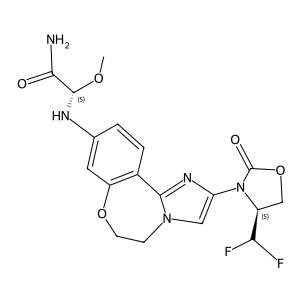 CO[C@H](Nc1ccc2c(c1)OCCn1cc(N3C(=O)OC[C@H]3C(F)F)nc1-2)C(N)=O